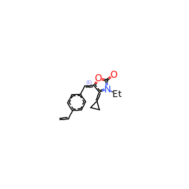 C=Cc1ccc(/C=c2/oc(=O)n(CC)c2=C2CC2)cc1